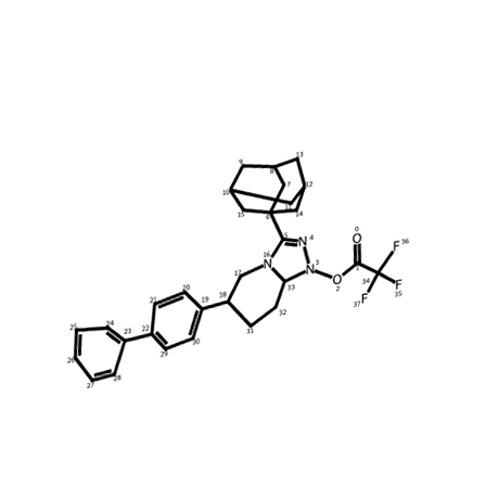 O=C(ON1N=C(C23CC4CC(CC(C4)C2)C3)N2CC(c3ccc(-c4ccccc4)cc3)CCC12)C(F)(F)F